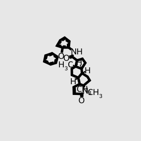 CN1C(=O)C=C[C@@]2(C)C1CC[C@@H]1[C@H]2CC[C@]2(C)C(C(=O)Nc3ccccc3Oc3ccccc3)CC[C@@H]12